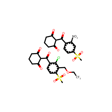 CS(=O)(=O)c1ccc(C(=O)C2C(=O)CCCC2=O)c(Cl)c1COCC(F)(F)F.CS(=O)(=O)c1ccc(C(=O)C2C(=O)CCCC2=O)c([N+](=O)[O-])c1